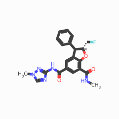 CNC(=O)c1cc(C(=O)Nc2ncn(C)n2)cc2c1O[C@@H](CF)C2c1ccccc1